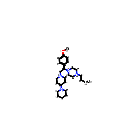 CCOc1ccc(C(CN2CCC(N3CCCCC3)CC2)N2CCN(CCOC)CC2)cc1